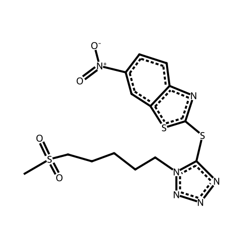 CS(=O)(=O)CCCCCn1nnnc1Sc1nc2ccc([N+](=O)[O-])cc2s1